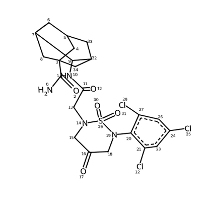 NC(=O)C12CC3CC(C1)C(NC(=O)CN1CC(=O)CN(c4c(Cl)cc(Cl)cc4Cl)S1(=O)=O)C(C3)C2